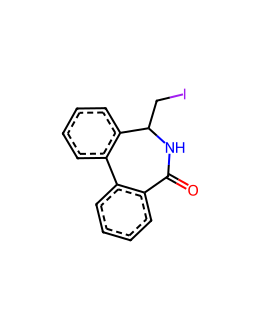 O=C1NC(CI)c2ccccc2-c2ccccc21